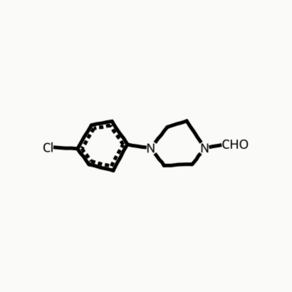 O=CN1CCN(c2ccc(Cl)cc2)CC1